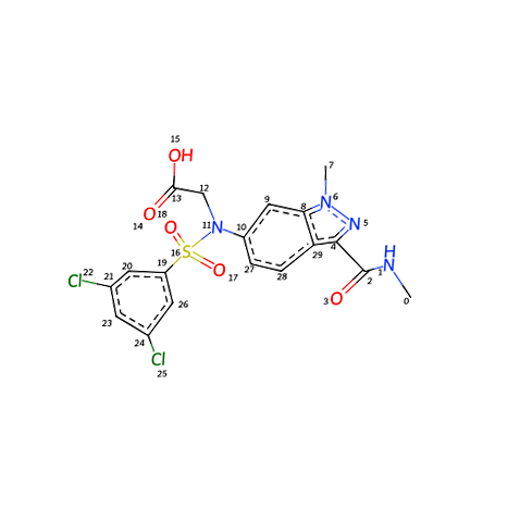 CNC(=O)c1nn(C)c2cc(N(CC(=O)O)S(=O)(=O)c3cc(Cl)cc(Cl)c3)ccc12